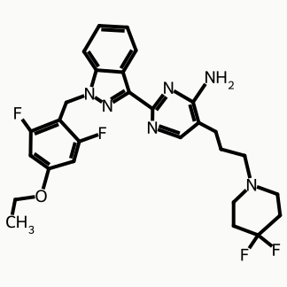 CCOc1cc(F)c(Cn2nc(-c3ncc(CCCN4CCC(F)(F)CC4)c(N)n3)c3ccccc32)c(F)c1